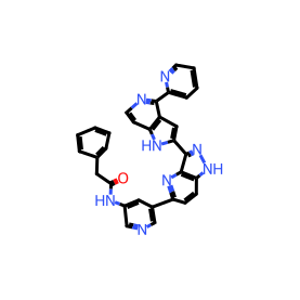 O=C(Cc1ccccc1)Nc1cncc(-c2ccc3[nH]nc(-c4cc5c(-c6ccccn6)nccc5[nH]4)c3n2)c1